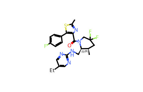 CCc1cnc(NC[C@@H]2[C@H](C)CC(F)(F)CN2C(=O)c2nc(C)sc2-c2ccc(F)cc2)nc1